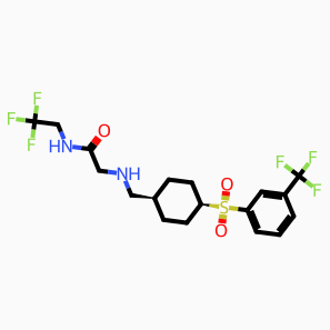 O=C(CNC[C@H]1CC[C@@H](S(=O)(=O)c2cccc(C(F)(F)F)c2)CC1)NCC(F)(F)F